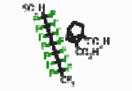 O=C(O)C1=CC2CCC1(C(=O)O)C2.O=S(=O)(O)C(F)(F)C(F)(F)C(F)(F)C(F)(F)C(F)(F)C(F)(F)C(F)(F)C(F)(F)F